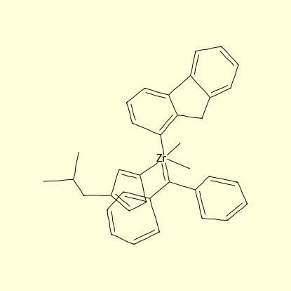 CC(C)CC1=CC[C]([Zr]([CH3])([CH3])(=[C](c2ccccc2)c2ccccc2)[c]2cccc3c2Cc2ccccc2-3)=C1